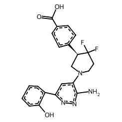 Nc1nnc(-c2ccccc2O)cc1N1CCC(F)(F)[C@H](c2ccc(C(=O)O)cc2)C1